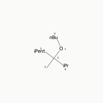 CCCCOC(C)(C(C)C)C(C)CCC